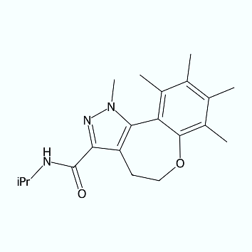 Cc1c(C)c(C)c2c(c1C)OCCc1c(C(=O)NC(C)C)nn(C)c1-2